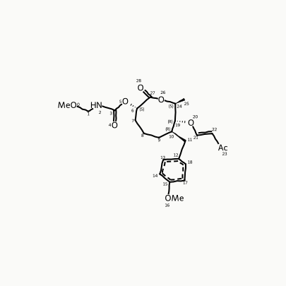 COCNC(=O)O[C@H]1CCC[C@H](Cc2ccc(OC)cc2)[C@@H](OC=CC(C)=O)[C@H](C)OC1=O